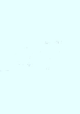 Cc1[nH]nc(C2NC(CO)=CO2)c1Cl